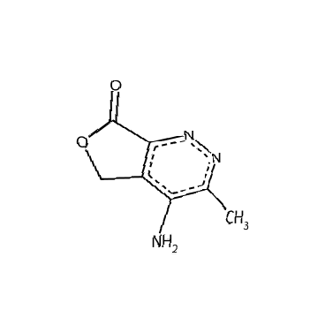 Cc1nnc2c(c1N)COC2=O